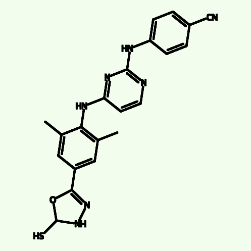 Cc1cc(C2=NNC(S)O2)cc(C)c1Nc1ccnc(Nc2ccc(C#N)cc2)n1